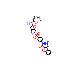 C=CC(=O)NC1CC2CCN(S(=O)(=O)c3ccc(NC(=O)c4oc5ccccc5c4C)cc3)CC2O1